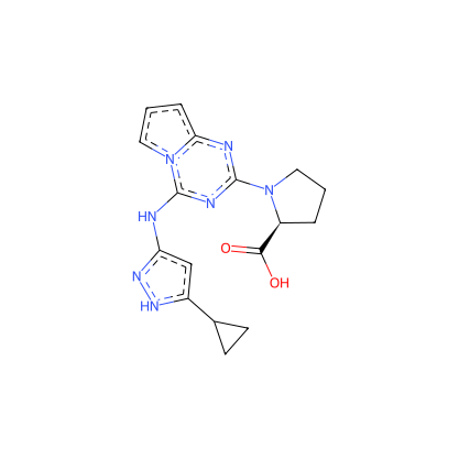 O=C(O)[C@@H]1CCCN1c1nc(Nc2cc(C3CC3)[nH]n2)n2cccc2n1